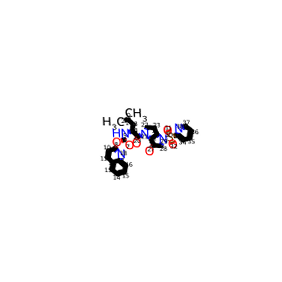 CC(C)CC(NC(=O)Oc1ccc2ccccc2n1)C(=O)N1CCC2C1C(=O)CN2S(=O)(=O)c1ccccn1